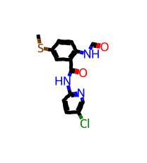 CSc1ccc(NC=O)c(C(=O)Nc2ccc(Cl)cn2)c1